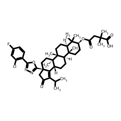 CC(C)C1=C2[C@H]3CC[C@@H]4[C@@]5(C)CC[C@H](OC(=O)CC(C)(C)C(=O)O)C(C)(C)[C@@H]5CC[C@@]4(C)[C@]3(C)CC[C@@]2(c2nnc(-c3ccc(F)cc3Cl)o2)CC1=O